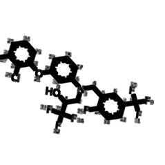 OC(CN(Cc1cc(C(F)(F)F)ccc1F)c1cccc(Oc2cccc(Cl)c2Cl)c1)C(F)(F)F